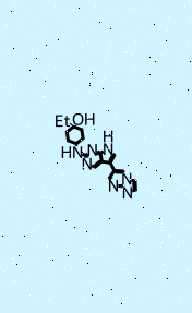 CC[C@]1(O)CC[C@@H](Nc2ncc3c(-c4cnc5nccn5c4)c[nH]c3n2)CC1